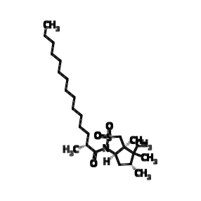 CCCCCCCCCCCCC[C@@H](C)C(=O)N1[C@@H]2C[C@@H](C)C(C)(C)[C@]2(C)CS1(=O)=O